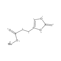 C=C1OC=C(CCC(=O)OC(C)(C)C)O1